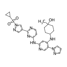 CC1(O)CCC(Nc2cc(Nc3ccnc(-c4cnn(S(=O)(=O)C5CC5)c4)n3)ncc2-n2cccn2)CC1